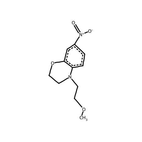 COCCN1CCOc2cc([N+](=O)[O-])ccc21